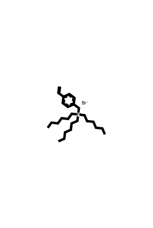 C=Cc1ccc(C[P+](CCCCCC)(CCCCCC)CCCCCC)cc1.[Br-]